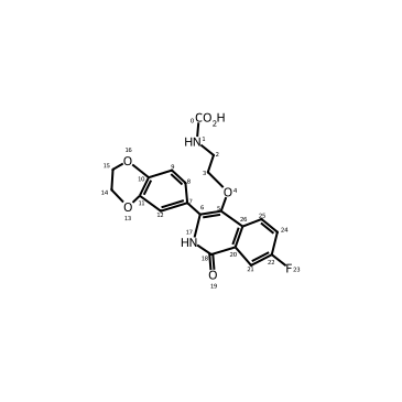 O=C(O)NCCOc1c(-c2ccc3c(c2)OCCO3)[nH]c(=O)c2cc(F)ccc12